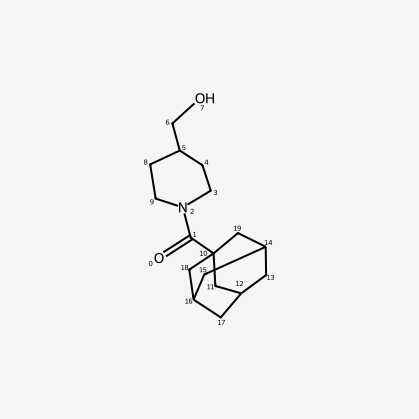 O=C(N1CCC(CO)CC1)C12CC3CC(CC(C3)C1)C2